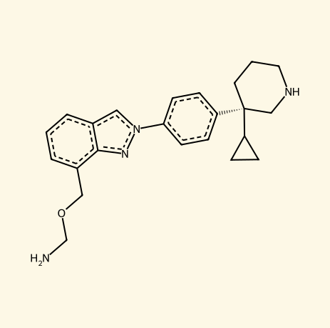 NCOCc1cccc2cn(-c3ccc([C@]4(C5CC5)CCCNC4)cc3)nc12